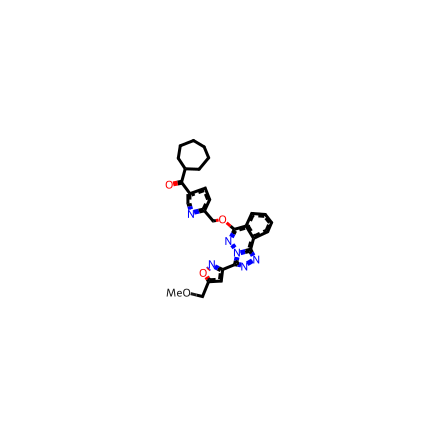 COCc1cc(-c2nnc3c4ccccc4c(OCc4ccc(C(=O)C5CCCCCC5)cn4)nn23)no1